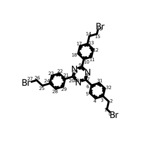 BrCCc1ccc(-c2nc(-c3ccc(CCBr)cc3)nc(-c3ccc(CCBr)cc3)n2)cc1